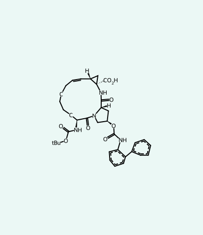 CC(C)(C)OC(=O)N[C@H]1CCCCC/C=C\[C@@H]2C[C@@]2(C(=O)O)NC(=O)[C@@H]2C[C@@H](OC(=O)Nc3ccccc3-c3ccccc3)CN2C1=O